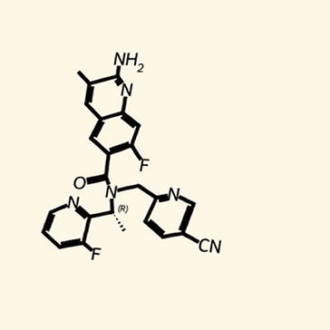 Cc1cc2cc(C(=O)N(Cc3ccc(C#N)cn3)[C@H](C)c3ncccc3F)c(F)cc2nc1N